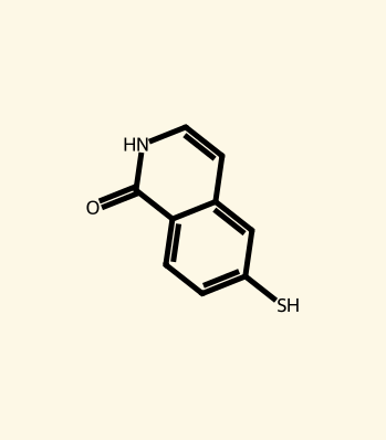 O=c1[nH]ccc2cc(S)ccc12